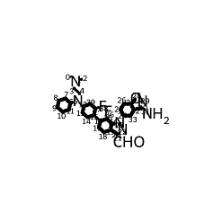 CN(C)CCN(c1ccccc1)c1ccc(-c2ccc3c(C=O)nn(-c4ccc5onc(N)c5c4)c3c2F)c(F)c1